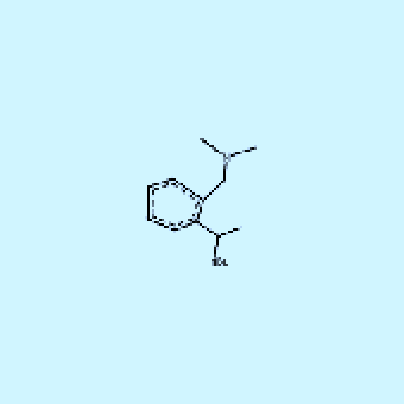 CCCCC(C)c1ccccc1CN(C)C